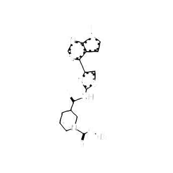 CC(C)(C)OC(=O)N1CCCC(C(=O)Nc2nc(-c3ncnc4[nH]ccc34)cs2)C1